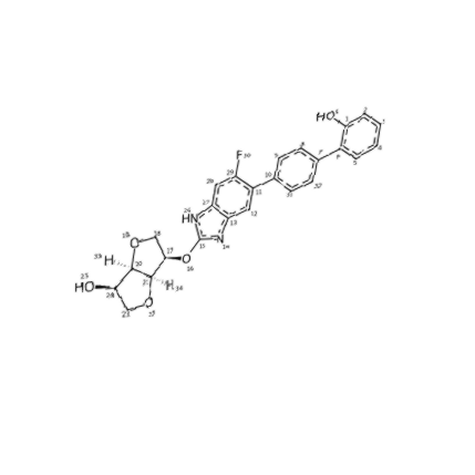 Oc1ccccc1-c1ccc(-c2cc3nc(O[C@@H]4CO[C@H]5[C@@H]4OC[C@H]5O)[nH]c3cc2F)cc1